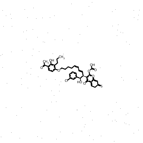 CCCc1c(OCCCC/C=C\C=C\[C@@H](c2c(OC(=O)O)oc3c(c2=O)=CCC(=S)C=3)[C@@H](O)c2cccc(Cl)c2)ccc(C(C)=O)c1O